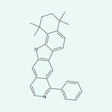 CC1(C)CCC(C)(C)c2c1ccc1c2oc2cc3ccnc(-c4ccccc4)c3cc21